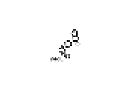 COC(=O)N1CCC(C)(N2CCC(N3C(=O)Cc4ccccc43)CC2)C1